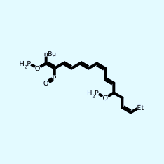 CC/C=C\CC(/C=C/C=C\C=C\C=C\C(P=O)=C(/CCCC)OP)OP